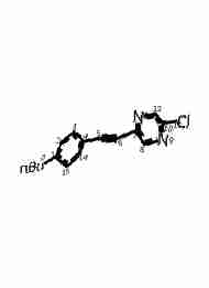 CCCCc1ccc(C#Cc2cnc(Cl)cn2)cc1